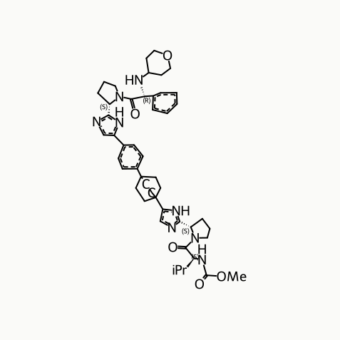 COC(=O)N[C@H](C(=O)N1CCC[C@H]1c1ncc(C23CCC(c4ccc(-c5cnc([C@@H]6CCCN6C(=O)[C@H](NC6CCOCC6)c6ccccc6)[nH]5)cc4)(CC2)CC3)[nH]1)C(C)C